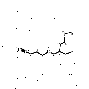 [C-]#[N+]CCCOCC(CC)CCCC